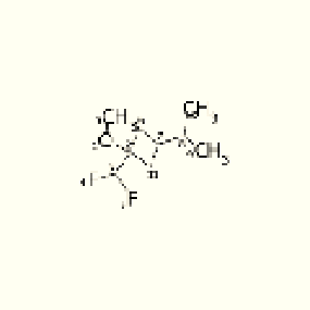 COC1(C(F)F)CC(C(C)C)C1